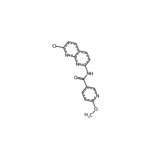 COc1ccc(C(=O)Nc2ccc3ccc(Cl)nc3n2)cn1